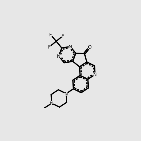 CN1CCN(c2ccc3ncc4c(c3c2)-c2cnc(C(F)(F)F)nc2C4=O)CC1